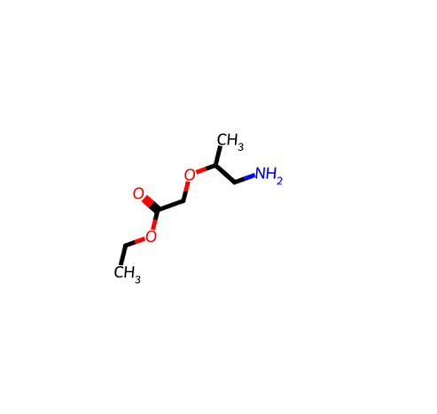 CCOC(=O)COC(C)CN